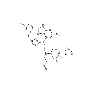 Nc1cc(C(CCN(CCN=O)C23CCC(c4ccccc4)(CC2)[C@H](O)C3)c2ccn(Cc3cccc(O)c3)n2)c2nn[nH]c2n1